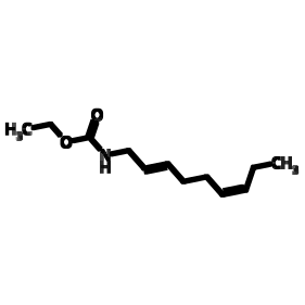 CC/C=C\CC/C=C/CNC(=O)OCC